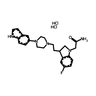 Cl.Cl.NC(=O)CN1CC(CCN2CCN(c3ccc4[nH]ccc4c3)CC2)c2cc(F)ccc21